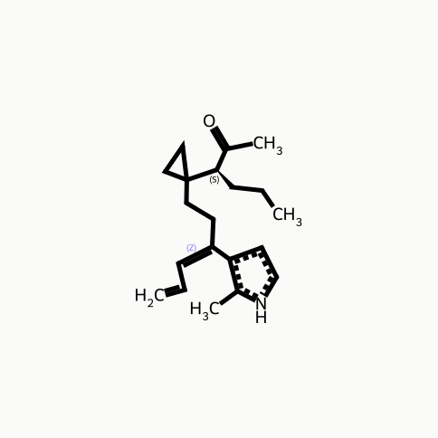 C=C/C=C(/CCC1([C@H](CCC)C(C)=O)CC1)c1cc[nH]c1C